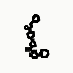 O=C(C=Cc1ccccc1)N1CCC(N2CCC(Nc3nccc(N4CCCCCC4)n3)C2)CC1